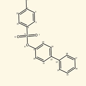 Cc1ccc(S(=O)(=O)Oc2ccc(-c3ccccc3)cc2)cc1